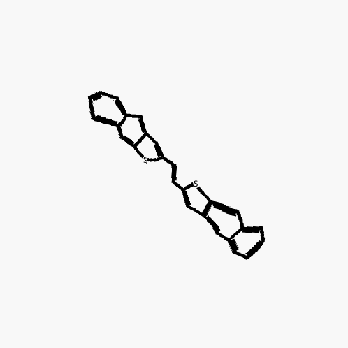 C(=Cc1cc2cc3ccccc3cc2s1)c1cc2cc3ccccc3cc2s1